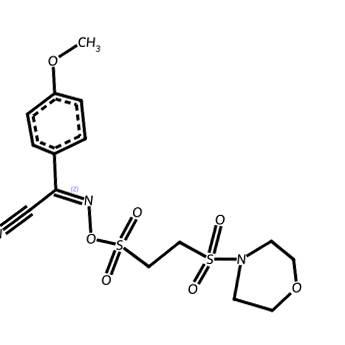 COc1ccc(/C(C#N)=N/OS(=O)(=O)CCS(=O)(=O)N2CCOCC2)cc1